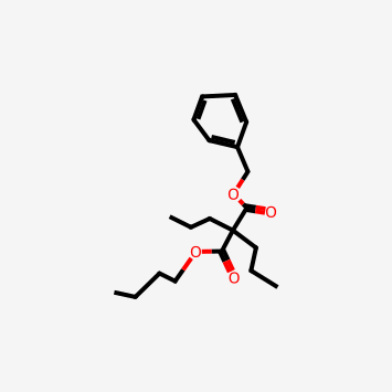 CCCCOC(=O)C(CCC)(CCC)C(=O)OCc1ccccc1